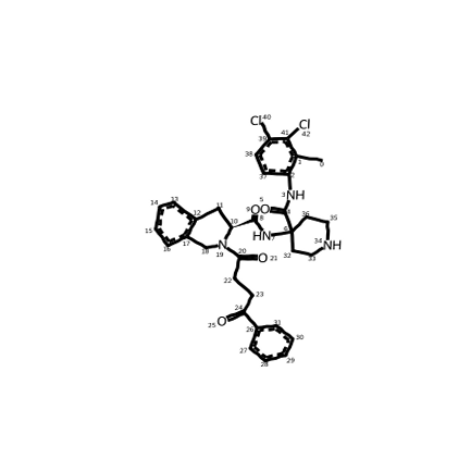 Cc1c(NC(=O)C2(NC(=O)[C@@H]3Cc4ccccc4CN3C(=O)CCC(=O)c3ccccc3)CCNCC2)ccc(Cl)c1Cl